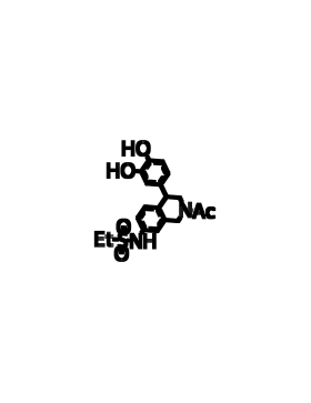 CCS(=O)(=O)Nc1ccc2c(c1)CN(C(C)=O)CC2c1ccc(O)c(O)c1